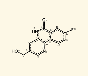 O=c1[nH]c2cc(CO)cnc2c2ccc(F)cc12